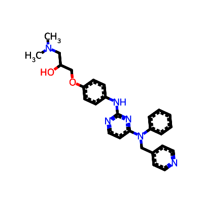 CN(C)CC(O)COc1ccc(Nc2nccc(N(Cc3ccncc3)c3ccccc3)n2)cc1